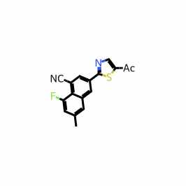 CC(=O)c1cnc(-c2cc(C#N)c3c(F)cc(C)cc3c2)s1